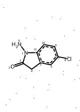 NN1C(=O)Cc2cc(Cl)ccc21